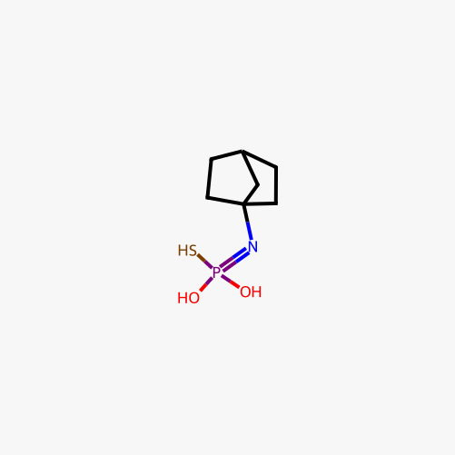 OP(O)(S)=NC12CCC(CC1)C2